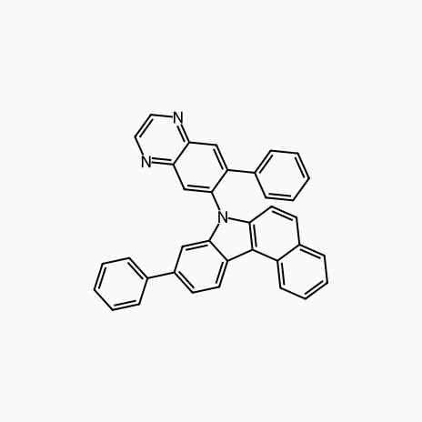 c1ccc(-c2ccc3c4c5ccccc5ccc4n(-c4cc5nccnc5cc4-c4ccccc4)c3c2)cc1